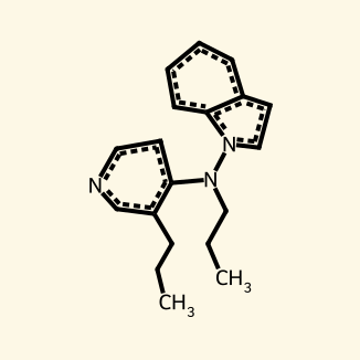 CCCc1cnccc1N(CCC)n1ccc2ccccc21